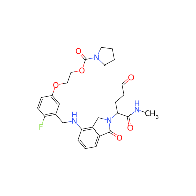 CNC(=O)C(CCC=O)N1Cc2c(NCc3cc(OCCOC(=O)N4CCCC4)ccc3F)cccc2C1=O